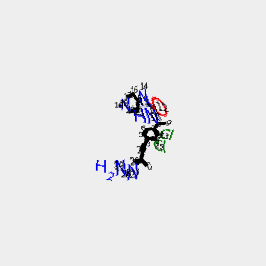 C/C(C#Cc1ccc(C(C)NC(=O)N(C)C2CCN(C)CC2)c(Cl)c1Cl)=C\N=C/N